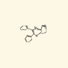 c1ccc(-c2nc3ccncc3nc2-c2ccccc2)cc1